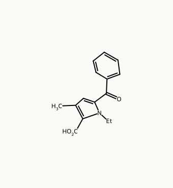 CCn1c(C(=O)c2ccccc2)cc(C)c1C(=O)O